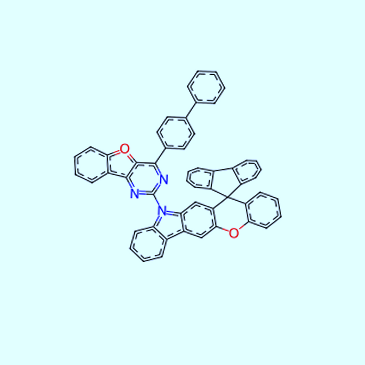 c1ccc(-c2ccc(-c3nc(-n4c5ccccc5c5cc6c(cc54)C4(c5ccccc5O6)c5ccccc5-c5ccccc54)nc4c3oc3ccccc34)cc2)cc1